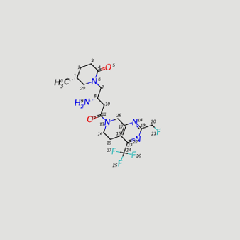 C[C@@H]1CCC(=O)N(C[C@@H](N)CC(=O)N2CCc3c(nc(CF)nc3C(F)(F)F)C2)C1